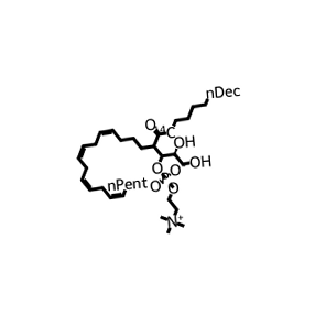 CCCCC/C=C\C/C=C\C/C=C\C/C=C\CCCC(C(=O)[14CH2]CCCCCCCCCCCCCC)C(OP(=O)([O-])OCC[N+](C)(C)C)[C@@H](O)CO